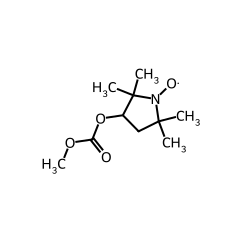 COC(=O)OC1CC(C)(C)N([O])C1(C)C